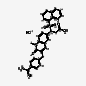 Cl.Cn1c(=O)c(Cc2ccc(C(=N)N)cn2)nc2cc(N(CC(=O)O)S(=O)(=O)c3cccc4cccnc34)ccc21